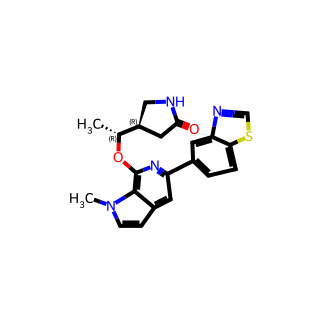 C[C@@H](Oc1nc(-c2ccc3scnc3c2)cc2ccn(C)c12)[C@H]1CNC(=O)C1